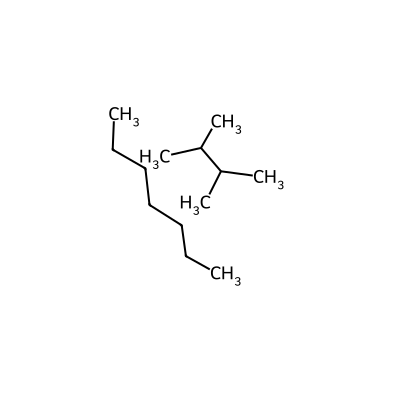 CC(C)C(C)C.CCCCCCC